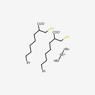 CC(C)CCCCCC(CS)C(=O)[O-].CC(C)CCCCCC(CS)C(=O)[O-].CCC[CH2][Sn+2][CH2]CCC